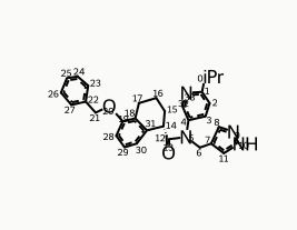 CC(C)c1ccc(N(Cc2cn[nH]c2)C(=O)[C@H]2CCCc3c(OCc4ccccc4)cccc32)cn1